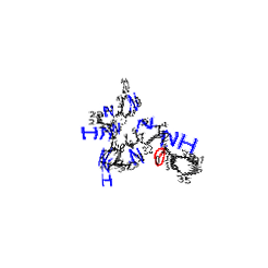 O=C(Nc1cncc(-c2cc3c(-c4nc5c(-c6ccncc6)nccc5[nH]4)n[nH]c3cn2)c1)c1ccccc1